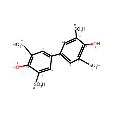 O=C(O)c1cc(-c2cc(S(=O)(=O)O)c(O)c(S(=O)(=O)O)c2)cc(S(=O)(=O)O)c1O